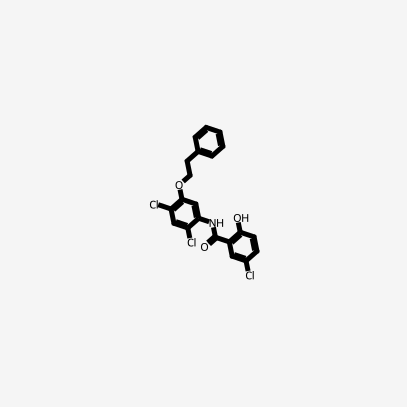 O=C(Nc1cc(OCCc2ccccc2)c(Cl)cc1Cl)c1cc(Cl)ccc1O